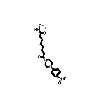 CNC(=O)CCCCCCC(=O)N1CCN(c2ccc([N+](=O)[O-])cc2)CC1